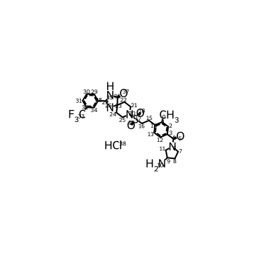 Cc1cc(C(=O)N2CCC(N)C2)ccc1CCS(=O)(=O)N1CCC2(CC1)N=C(c1cccc(C(F)(F)F)c1)NC2=O.Cl